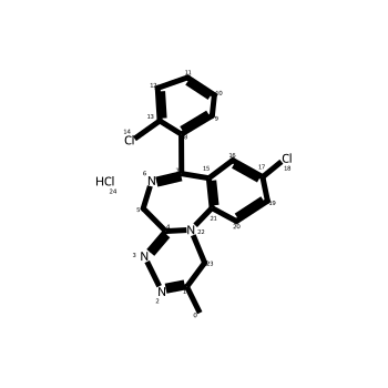 CC1=NN=C2CN=C(c3ccccc3Cl)c3cc(Cl)ccc3N2C1.Cl